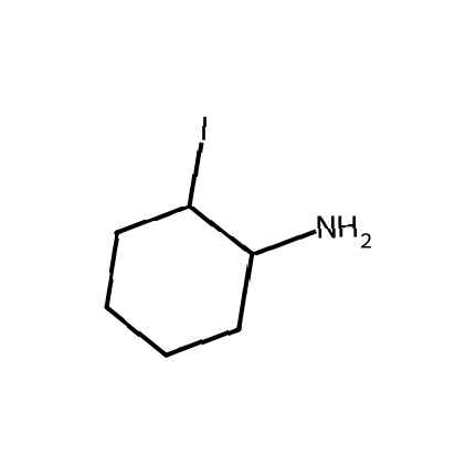 NC1CCCCC1I